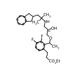 CCOC(=O)CCc1ccc(F)c(F)c1C(C)OC[C@H](O)CNC(C)(C)CC1Cc2ccccc2C1